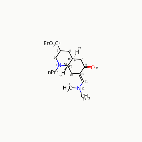 CCCN1CC(C(=O)OCC)C[C@H]2CC(=O)C(=CN(C)C)C[C@@H]21